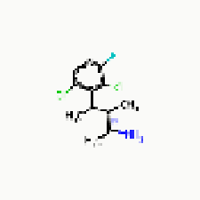 C/C(N)=C(/C)C(C)c1c(Cl)ccc(F)c1Cl